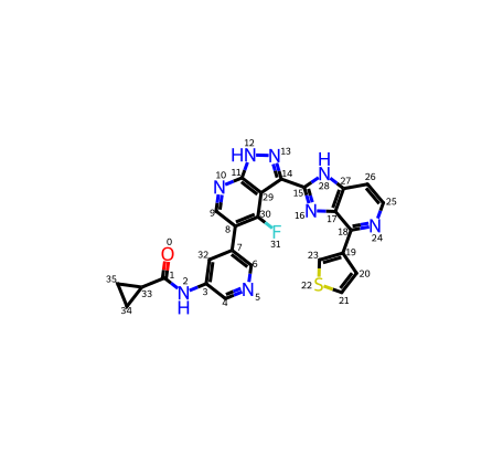 O=C(Nc1cncc(-c2cnc3[nH]nc(-c4nc5c(-c6ccsc6)nccc5[nH]4)c3c2F)c1)C1CC1